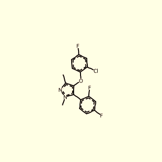 Cc1nn(C)c(-c2ccc(F)cc2F)c1Oc1ccc(F)cc1Cl